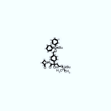 CC(C)(C)[Si](C)(C)OCCC(O)(C(=O)SN1CCC1=O)c1ccc(CO[Si](c2ccccc2)(c2ccccc2)C(C)(C)C)cc1